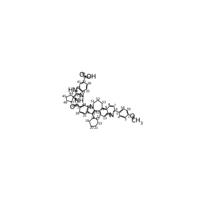 COc1ccc(-c2ccc3c4c(ccc3n2)-c2c(C3CCCCC3)c3ccc(C(=O)NC5(c6nc7ccc(C(=O)O)cc7[nH]6)CCCC5)cc3n2CCC4)cc1